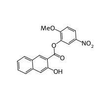 COc1ccc([N+](=O)[O-])cc1OC(=O)c1cc2ccccc2cc1O